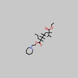 CCCC(C)(C(=O)OCCN1CCCCCC1)C(C)(C)C(C)(C)CC(C)(C(=O)OCC)C(C)C